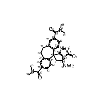 CN[C@@H](C)CC1(c2noc(=O)[nH]2)c2ccc(C(=O)N(C)C)cc2CCc2cc(C(=O)N(C)C)ccc21